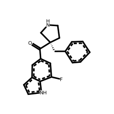 O=C(c1cc(F)c2[nH]ccc2c1)[C@]1(Cc2ccccc2)CCNC1